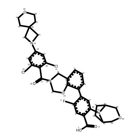 O=C(O)c1cc(F)c(-c2cccc3c2OCN(C(=O)c2c(Cl)cc(N4CC5(CCOCC5)C4)cc2Cl)C3)cc1N1C2CCC1COC2